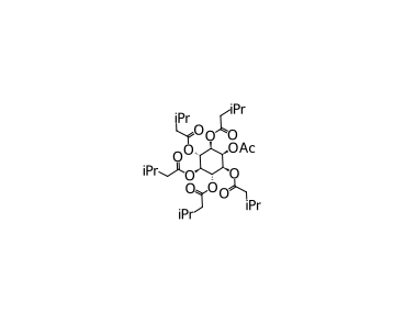 CC(=O)O[C@H]1[C@@H](OC(=O)CC(C)C)[C@H](OC(=O)CC(C)C)[C@@H](OC(=O)CC(C)C)[C@H](OC(=O)CC(C)C)[C@H]1OC(=O)CC(C)C